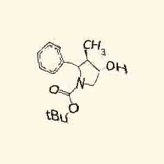 C[C@@H]1C(c2ccccc2)N(C(=O)OC(C)(C)C)C[C@H]1O